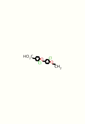 C=CCOc1ccc(COc2ccc(CC(=O)O)cc2Cl)cc1Cl